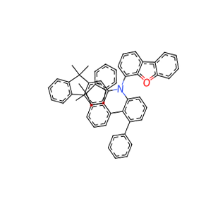 CC1(C)c2ccccc2-c2ccc(N(c3cccc(-c4ccccc4)c3-c3cccc4c3-c3ccccc3C4(C)C)c3cccc4c3oc3ccccc34)cc21